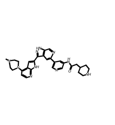 CN1CCN(c2ccnc3[nH]c(-c4n[nH]c5cnc(-c6cncc(NC(=O)CC7CCNCC7)c6)cc45)cc23)CC1